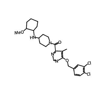 COC1CCCCC1NC1CCN(C(=O)c2ncnc(OCc3ccc(Cl)c(Cl)c3)c2C)CC1